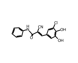 N#C/C(=C\c1cc(O)c(O)c(Cl)c1)C(=O)Nc1ccccc1